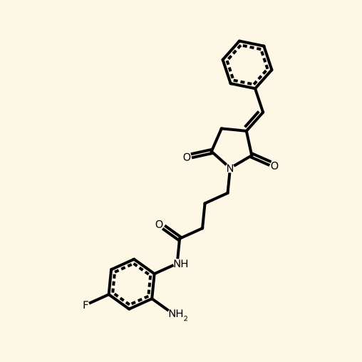 Nc1cc(F)ccc1NC(=O)CCCN1C(=O)C/C(=C\c2ccccc2)C1=O